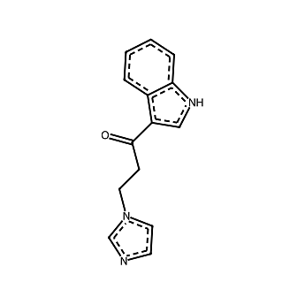 O=C(CCn1ccnc1)c1c[nH]c2ccccc12